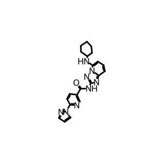 O=C(Nc1nc2cccc(NC3CCCCC3)n2n1)c1ccc(-n2cccn2)nc1